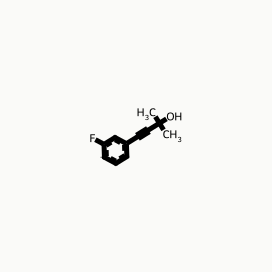 CC(C)(O)C#Cc1cc[c]c(F)c1